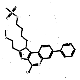 COCCc1nc2c(N)nc3cc(-c4ccccc4)ccc3c2n1CCCCNS(C)(=O)=O